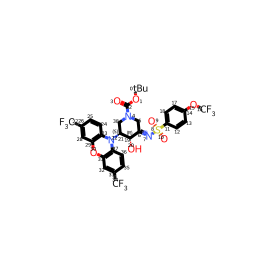 CC(C)(C)OC(=O)N1C/C(=N\S(=O)(=O)c2ccc(OC(F)(F)F)cc2)[C@H](O)[C@@H](N2c3ccc(C(F)(F)F)cc3Oc3cc(C(F)(F)F)ccc32)C1